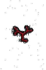 C=CCN(CCCSCCN(CCC(C)=O)CCC(=O)NCCN1CC(C(=O)OC)CC1=O)CC(O)Cn1c(=O)n(CC(O)CN(CC=C)CCCSCCN(CCC(=O)NCCN2CC(C(=O)OC)CC2=O)CCC(=O)NCCN2CC(C(=O)OC)CC2=O)c(=O)n(CC(O)CN(CC=C)CCCSCCN(CCC(=O)NCCN2CC(C(=O)OC)CC2=O)CCC(=O)NCCN2CC(C(=O)OC)CC2=O)c1=O